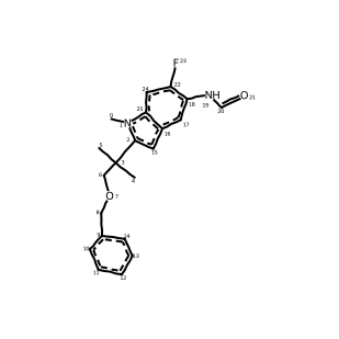 Cn1c(C(C)(C)COCc2ccccc2)cc2cc(NC=O)c(F)cc21